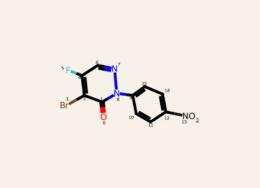 O=c1c(Br)c(F)cnn1-c1ccc([N+](=O)[O-])cc1